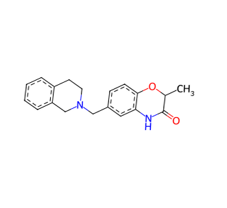 CC1Oc2ccc(CN3CCc4ccccc4C3)cc2NC1=O